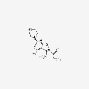 C=CC(=O)c1sc2nc(N3CCNCC3)cc(CCC)c2c1N